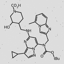 Cc1cccc2nc(CN(C(=O)OC(C)(C)C)c3cc(NCC4CCN(C(=O)O)CC4O)nc4c(C5CC5)cnn34)cn12